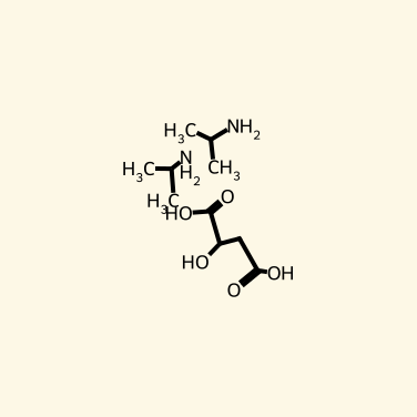 CC(C)N.CC(C)N.O=C(O)CC(O)C(=O)O